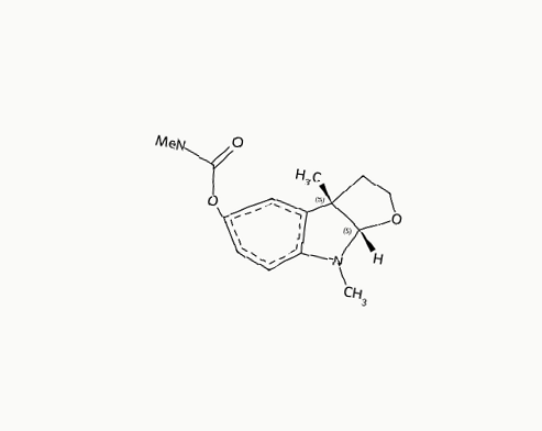 CNC(=O)Oc1ccc2c(c1)[C@]1(C)CCO[C@@H]1N2C